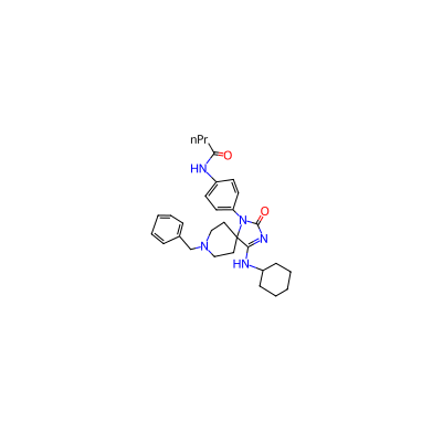 CCCC(=O)Nc1ccc(N2C(=O)N=C(NC3CCCCC3)C23CCN(Cc2ccccc2)CC3)cc1